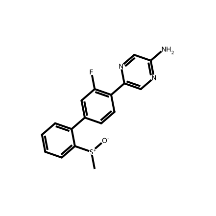 C[S+]([O-])c1ccccc1-c1ccc(-c2cnc(N)cn2)c(F)c1